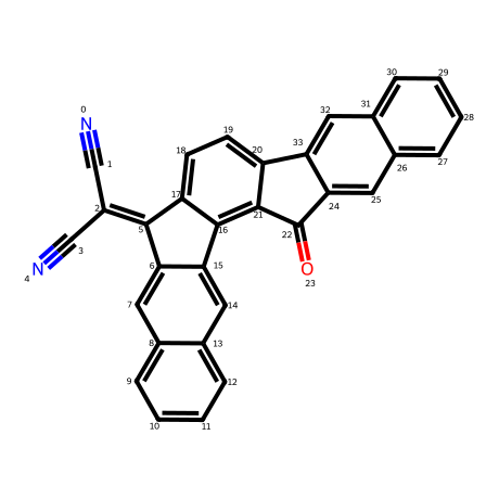 N#CC(C#N)=C1c2cc3ccccc3cc2-c2c1ccc1c2C(=O)c2cc3ccccc3cc2-1